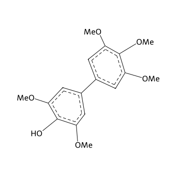 COc1cc(-c2cc(OC)c(OC)c(OC)c2)cc(OC)c1O